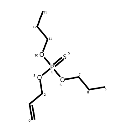 C=CCOP(=S)(OCCC)OCCC